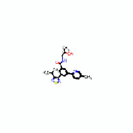 Cc1ccc(-c2cc(C(=O)NC[C@@H](C)O)cc(-c3nsnc3C(C)C)c2)nc1